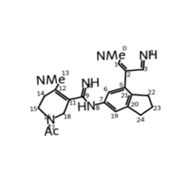 CN/C=C(\C=N)c1cc(NC(=N)C2=C(NC)CCN(C(C)=O)C2)cc2c1CCC2